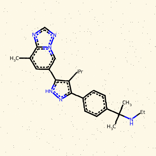 CCNC(C)(C)c1ccc(-c2n[nH]c(-c3cc(C)c4ncnn4c3)c2C(C)C)cc1